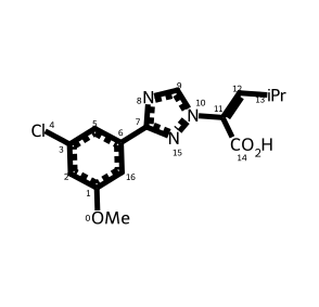 COc1cc(Cl)cc(-c2ncn(C(=CC(C)C)C(=O)O)n2)c1